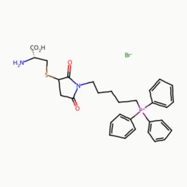 N[C@@H](CSC1CC(=O)N(CCCCC[P+](c2ccccc2)(c2ccccc2)c2ccccc2)C1=O)C(=O)O.[Br-]